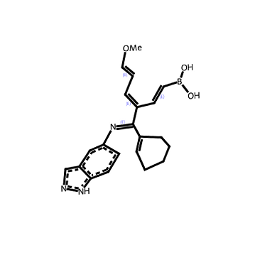 CO/C=C/C=C(\C=C\B(O)O)C(=N/c1ccc2[nH]ncc2c1)/C1=CCCCC1